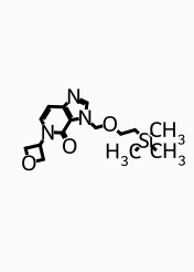 C[Si](C)(C)CCOCn1cnc2ccn(C3COC3)c(=O)c21